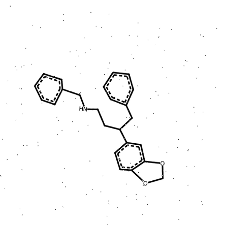 c1ccc(CNCCC(Cc2ccccc2)c2ccc3c(c2)OCO3)cc1